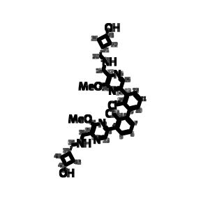 COc1nc(-c2cccc(-c3cccc(-c4cnc(CNC[C@H]5C[C@@H](O)C5)c(OC)n4)c3Cl)c2Cl)cnc1CNC[C@H]1C[C@@H](O)C1